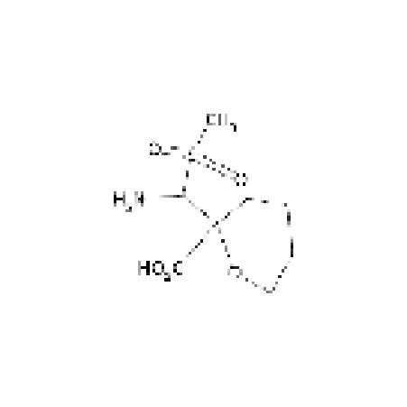 CS(=O)(=O)C(N)C1(C(=O)O)CCCCO1